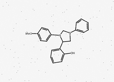 COc1ccc(N2CN(c3ccccc3)CC2c2ccccc2O)cc1